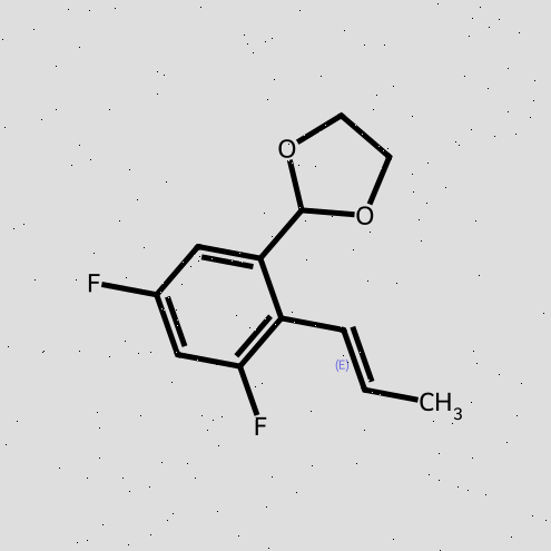 C/C=C/c1c(F)cc(F)cc1C1OCCO1